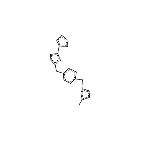 Cc1cnn(Cc2ccc(Cn3ccc(-c4ccsc4)n3)cc2)c1